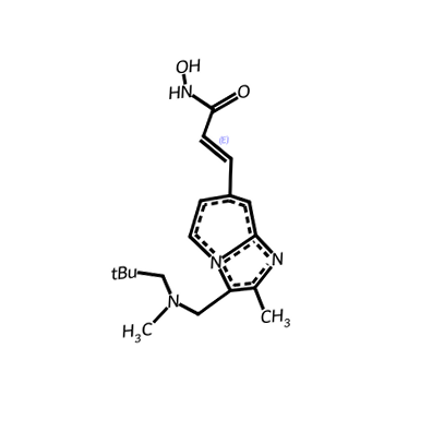 Cc1nc2cc(/C=C/C(=O)NO)ccn2c1CN(C)CC(C)(C)C